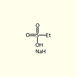 CCS(=O)(=O)O.[NaH]